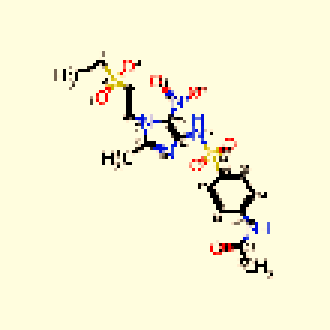 CCS(=O)(=O)CCn1c(C)nc(NS(=O)(=O)c2ccc(NC(C)=O)cc2)c1[N+](=O)[O-]